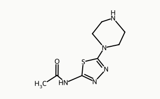 CC(=O)Nc1nnc(N2CCNCC2)s1